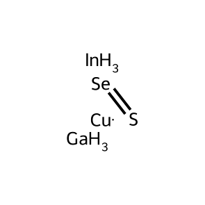 S=[Se].[Cu].[GaH3].[InH3]